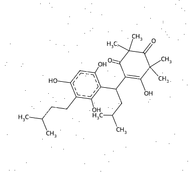 CC(C)CCc1c(O)cc(O)c(C(CC(C)C)C2=C(O)C(C)(C)C(=O)C(C)(C)C2=O)c1O